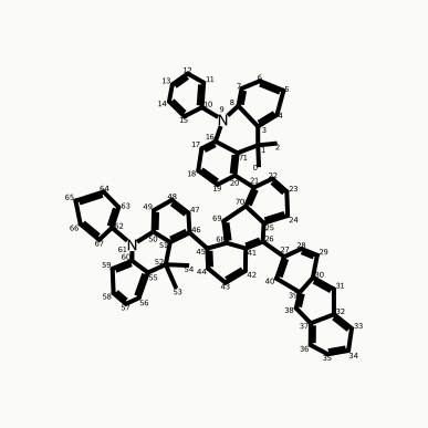 CC1(C)c2ccccc2N(c2ccccc2)c2cccc(-c3cccc4c(-c5ccc6cc7ccccc7cc6c5)c5cccc(-c6cccc7c6C(C)(C)c6ccccc6N7c6ccccc6)c5cc34)c21